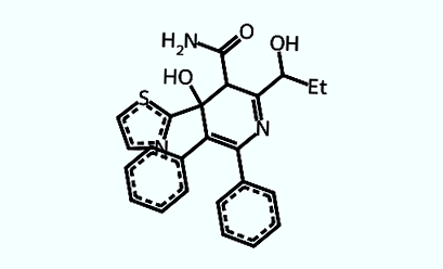 CCC(O)C1=NC(c2ccccc2)=C(c2ccccc2)C(O)(c2nccs2)C1C(N)=O